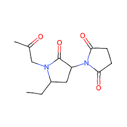 CCC1CC(N2C(=O)CCC2=O)C(=O)N1CC(C)=O